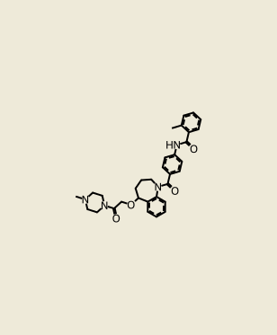 Cc1ccccc1C(=O)Nc1ccc(C(=O)N2CCCC(OCC(=O)N3CCN(C)CC3)c3ccccc32)cc1